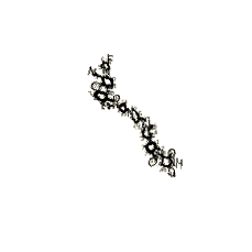 N#Cc1c(N2CC[C@@H](F)C2)ccc(F)c1Oc1ccc2ncn(-c3ccc(N4CCC(CN5CCC(c6ccc7c(c6)CN(C6CCC(=O)NC6=O)C7=O)CC5)CC4)cc3)c(=O)c2c1